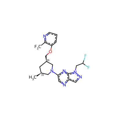 C[C@H]1C[C@@H](COc2cccnc2C(F)(F)F)CN(c2cnc3cnn(CC(F)F)c3n2)C1